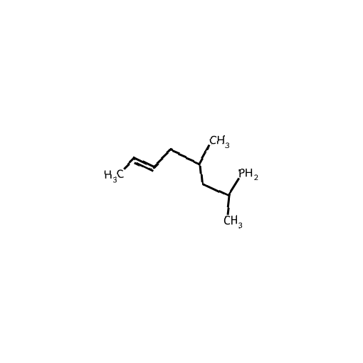 C/C=C/CC(C)CC(C)P